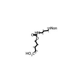 CCCCCCCCCCCCNC(=O)OCCCCC(=O)O